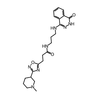 CN1CCCC(c2noc(CCC(=O)NCCCNc3n[nH]c(=O)c4ccccc34)n2)C1